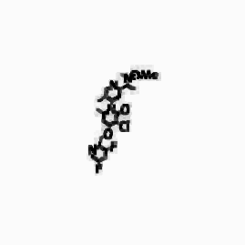 C=C(c1cc(-n2c(C)cc(OCc3ncc(F)cc3F)c(Cl)c2=O)c(C)cn1)N(C)OC